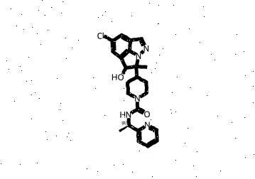 C[C@@H](NC(=O)N1CCC(C2(C)C(O)c3cc(Cl)cc4cnn2c34)CC1)c1ccccn1